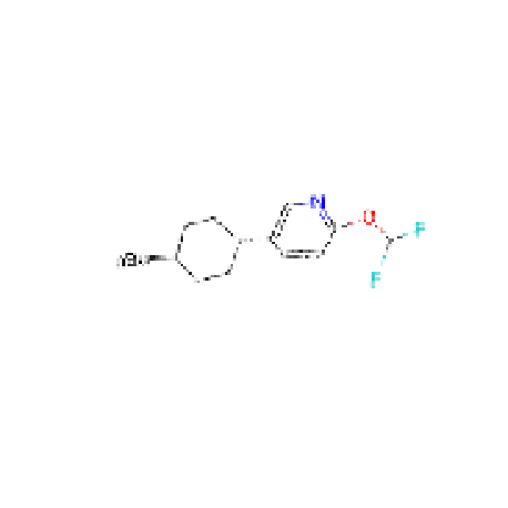 CCCC[C@H]1CC[C@H](c2ccc(OC(F)F)nc2)CC1